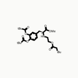 CCC(C)CC(=O)OCCN[C@@H](Cc1ccc(OC(=O)C(C)(C)C)c(OC(=O)C(C)(C)C)c1)C(=O)OC